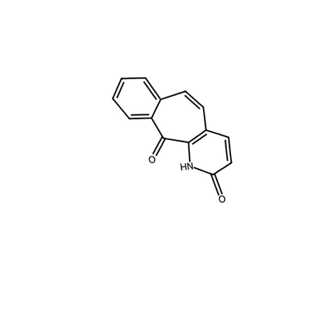 O=c1ccc2ccc3ccccc3c(=O)c2[nH]1